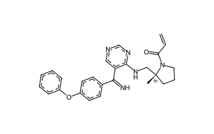 C=CC(=O)N1CCC[C@]1(C)CNc1ncncc1C(=N)c1ccc(Oc2ccccc2)cc1